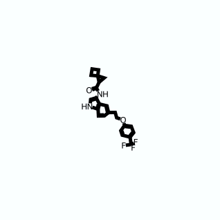 O=C(Nc1c[nH]c2ccc(CCOc3ccc(C(F)(F)F)cc3)cc12)C1CC12CCC2